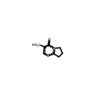 CCOC(=O)c1cnc2n(c1=O)CCC2